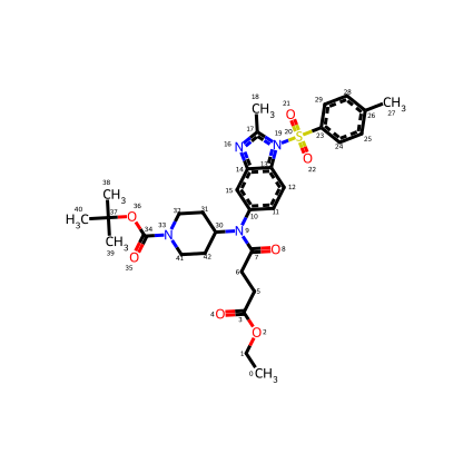 CCOC(=O)CCC(=O)N(c1ccc2c(c1)nc(C)n2S(=O)(=O)c1ccc(C)cc1)C1CCN(C(=O)OC(C)(C)C)CC1